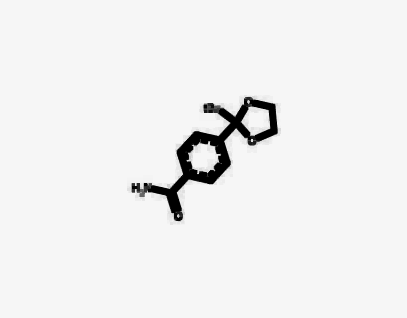 CC(C)(C)C1(c2ccc(C(N)=O)cc2)OCCO1